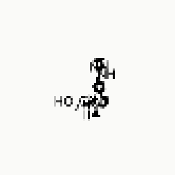 C1CC1.O=C(O)Nc1nc2cccc(-c3ccc(CNc4ncccn4)cc3)n2n1